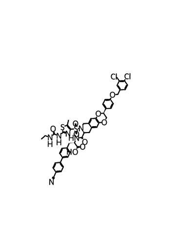 CCNC(=O)Nc1nc(S(=O)(=O)N2Cc3cc4c(cc3CC2C(=O)N[C@@H](Cc2ccc(-c3ccc(C#N)cc3)cc2)C(=O)O)OC[C@H](c2ccc(OCc3ccc(Cl)c(Cl)c3)cc2)O4)c(C)s1